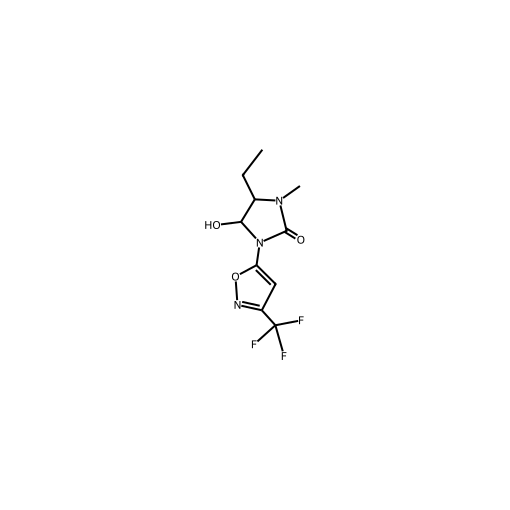 CCC1C(O)N(c2cc(C(F)(F)F)no2)C(=O)N1C